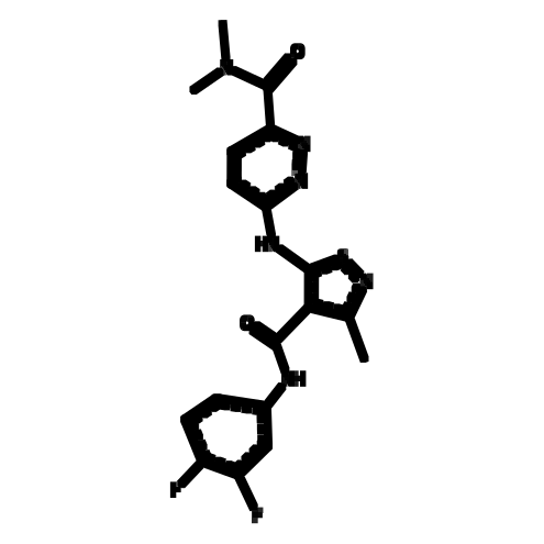 Cc1nsc(Nc2ccc(C(=O)N(C)C)nn2)c1C(=O)Nc1ccc(F)c(F)c1